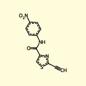 C#Cc1nc(C(=O)Nc2ccc([N+](=O)[O-])cc2)cs1